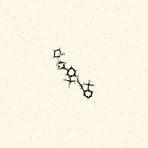 FC(F)(F)c1ccccc1/C=C/COc1ccc(-c2noc([C@@H]3CCCN3)n2)cc1C(F)(F)F